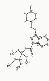 CN1CCC(CCn2cc(C(=O)CC(CO)(CO)C(CO)CO)c3ccccc32)CC1